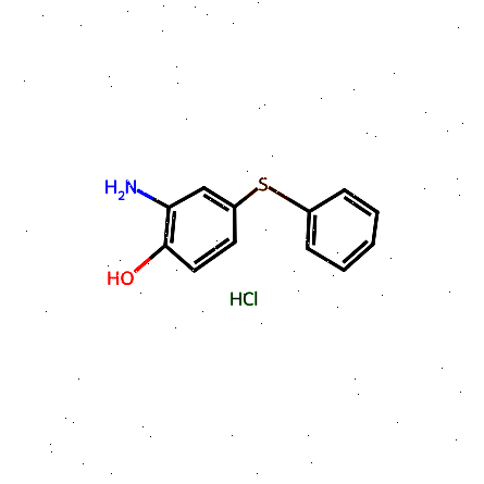 Cl.Nc1cc(Sc2ccccc2)ccc1O